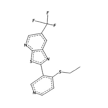 CCSc1ccncc1-c1nc2cc(C(F)(F)F)cnc2s1